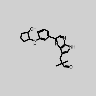 CC(C)(C=O)Cc1c[nH]c2ncc(-c3cccc(NC4CCCC4O)c3)nc12